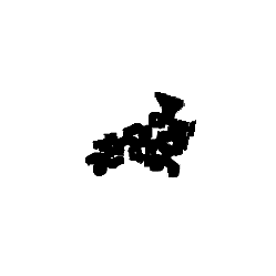 CCC(=O)c1cnc(NC(=O)C2CC2)cc1Nc1nccc(-c2cc(P(=O)(CC)CC)n(C)n2)c1OC